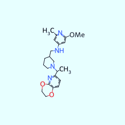 COc1cc(NCC2CCCN(C(C)c3ccc4c(n3)OCCO4)C2)cc(C)n1